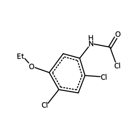 CCOc1cc(NC(=O)Cl)c(Cl)cc1Cl